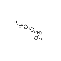 COC(=O)c1ccc(N2CCC3(CC2)CC(N2CCCC2c2ccccc2C2CC2)C3)cc1